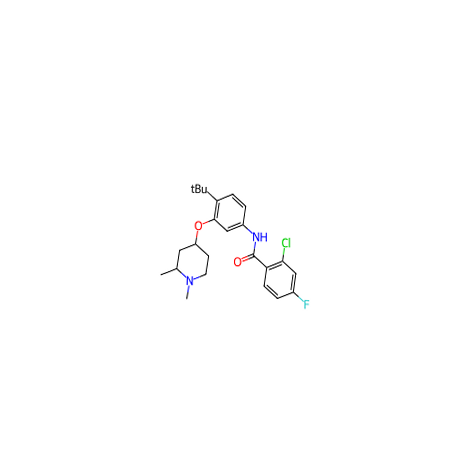 CC1CC(Oc2cc(NC(=O)c3ccc(F)cc3Cl)ccc2C(C)(C)C)CCN1C